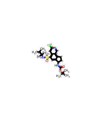 [2H]C([2H])(NS(=O)(=O)c1cc2c(c3cnc(Cl)cc13)CCC2NC(=O)OC(C)(C)C)C(C)C